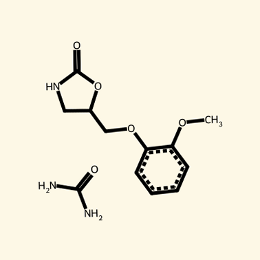 COc1ccccc1OCC1CNC(=O)O1.NC(N)=O